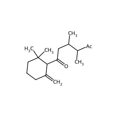 C=C1CCCC(C)(C)C1C(=O)CC(C)C(C)C(C)=O